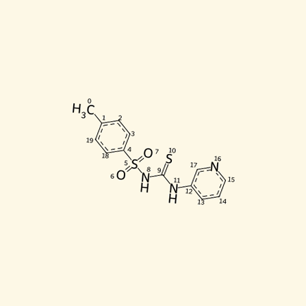 Cc1ccc(S(=O)(=O)NC(=S)Nc2cccnc2)cc1